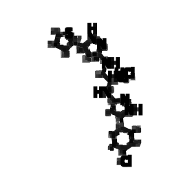 Cl.Cl.Clc1ccc(-c2cc(NCCNc3cc(-c4cccs4)[nH]n3)n[nH]2)cc1